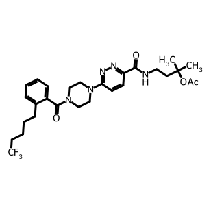 CC(=O)OC(C)(C)CCNC(=O)c1ccc(N2CCN(C(=O)c3ccccc3CCCCC(F)(F)F)CC2)nn1